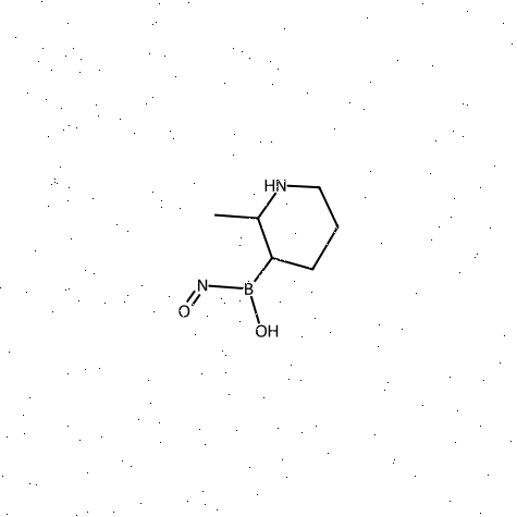 CC1NCCCC1B(O)N=O